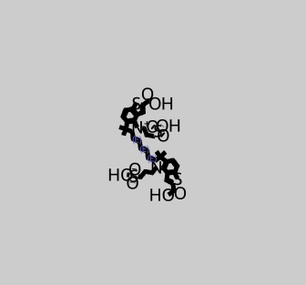 CC1(C)C(/C=C/C=C/C=C2/N(CCCS(=O)(=O)O)c3c(ccc4sc(C(=O)O)cc34)C2(C)C)=[N+](CCCS(=O)(=O)O)c2c1ccc1sc(C(=O)O)cc21